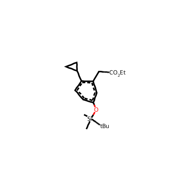 CCOC(=O)Cc1cc(O[Si](C)(C)C(C)(C)C)ccc1C1CC1